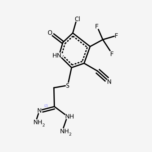 N#Cc1c(SC/C(=N/N)NN)[nH]c(=O)c(Cl)c1C(F)(F)F